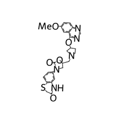 COc1ccc2ncnc(OC3CCN(CC4CN(c5ccc6c(c5)NC(=O)CS6)C(=O)O4)C3)c2c1